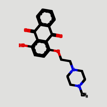 CN1CCN(CCOc2ccc(O)c3c2C(=O)c2ccccc2C3=O)CC1